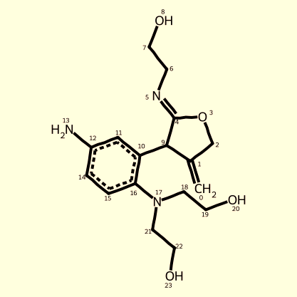 C=C1COC(=NCCO)C1c1cc(N)ccc1N(CCO)CCO